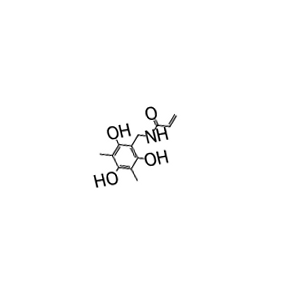 C=CC(=O)NCc1c(O)c(C)c(O)c(C)c1O